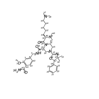 COc1cc(CNC(=O)[C@@H]2CN(C3=NC(C)(C)C(c4ccccc4)O3)CCN2C(=O)[C@@H](CCCCCN(C)C)N(C)C)ccc1C(N)=O